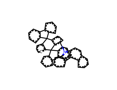 c1ccc2c(c1)-c1ccccc1C21c2ccccc2C2(c3ccccc3-c3ccccc32)c2c(-n3c4ccccc4c4c5ccccc5ccc43)cccc21